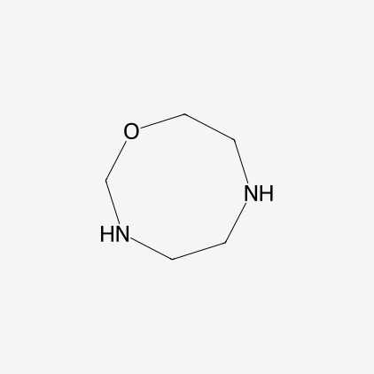 C1CNCOCCN1